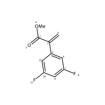 C=C(C(=O)OC)c1cc(F)cc(F)c1